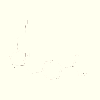 COC(=O)c1ccc(Cc2ncc(CCCl)[nH]2)cc1